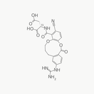 N#Cc1ccc2c(c1C(=O)N[C@@H](CC(=O)O)C(=O)O)OCCCc1cc(NC(=N)N)ccc1C(=O)O2